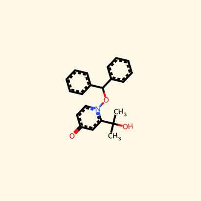 CC(C)(O)c1cc(=O)ccn1OC(c1ccccc1)c1ccccc1